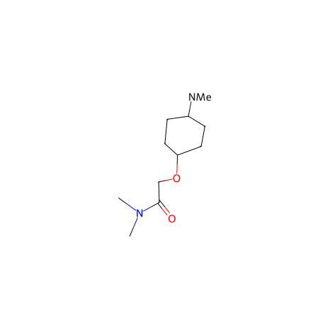 CNC1CCC(OCC(=O)N(C)C)CC1